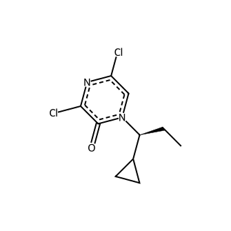 CC[C@@H](C1CC1)n1cc(Cl)nc(Cl)c1=O